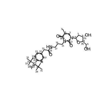 Cc1cn(C2C[C@H](O)[C@@H](CO)O2)c(=O)n(CCCNC(=O)Cc2ccc([Si]([18F])(C(C)(C)C)C(C)(C)C)cc2)c1=O